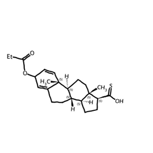 CCC(=O)OC1C=C[C@@]2(C)C(=C1)CC[C@H]1[C@@H]3CC[C@H](C(O)=S)[C@@]3(C)CC[C@@H]12